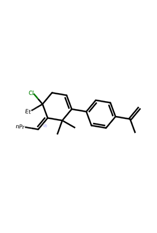 C=C(C)c1ccc(C2=CCC(Cl)(CC)/C(=C\CCC)C2(C)C)cc1